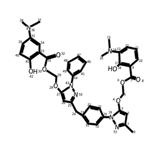 Cc1cc(OCOC(=O)c2cccc(N(C)C)c2O)n(-c2ccc(Cc3cc(OCOC(=O)c4cc(N(C)C)ccc4O)n(-c4ccccc4)n3)cc2)n1